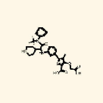 Cc1c(-c2cccc(NC(C(=O)N(c3ccccc3)C(F)(F)F)C3CCNCC3)c2)sc(C(=O)O)c1OCC(=O)O